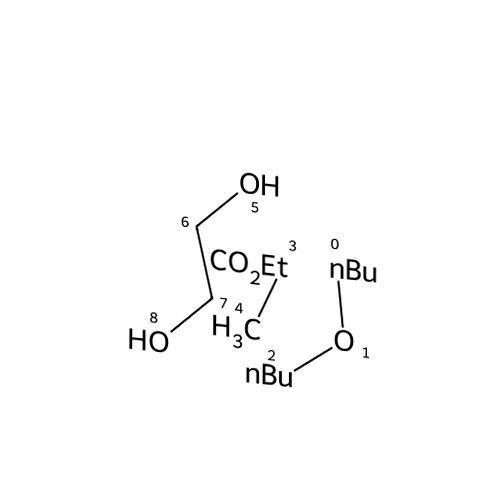 CCCCOCCCC.CCOC(C)=O.OCCO